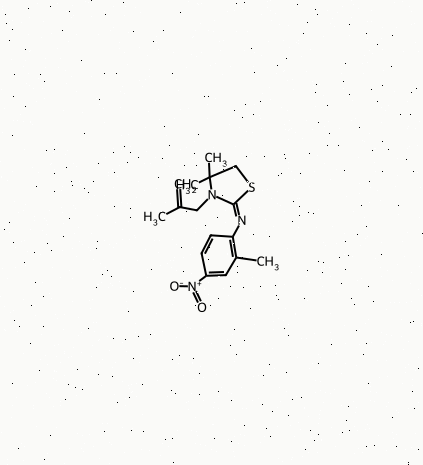 C=C(C)CN1C(=Nc2ccc([N+](=O)[O-])cc2C)SCC1(C)C